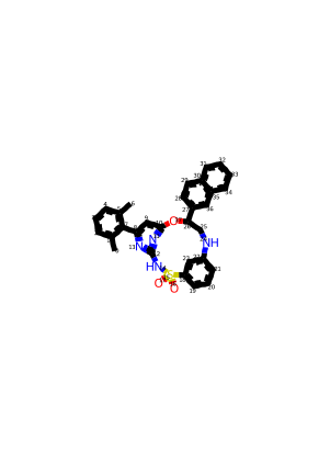 Cc1cccc(C)c1-c1cc2nc(n1)NS(=O)(=O)c1cccc(c1)NCC(c1ccc3ccccc3c1)O2